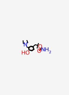 CCN(CC)Cc1cc(CC(C)(C)OC(N)=O)ccc1O